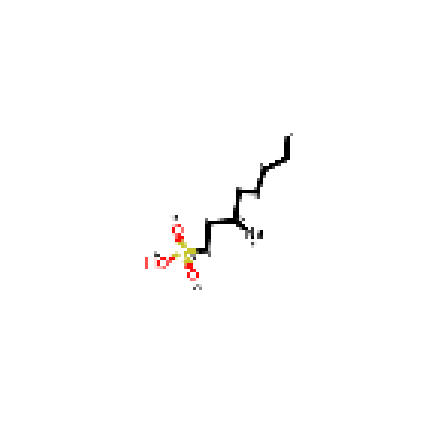 CCCCC[CH]([Na])CCS(=O)(=O)O